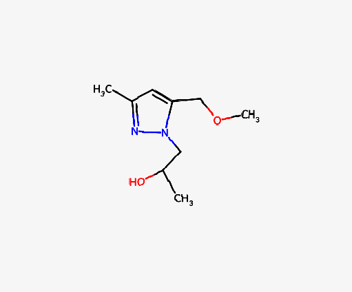 COCc1cc(C)nn1CC(C)O